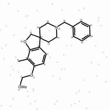 COCOc1ccc2c(c1C)OCC21CCN(Cc2ccccc2)CC1